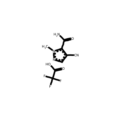 Cn1ncc(C#N)c1C(N)=O.O=C(O)C(F)(F)F